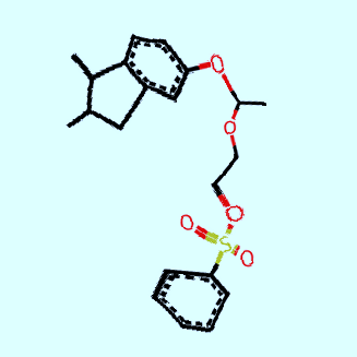 CC(OCCOS(=O)(=O)c1ccccc1)Oc1ccc2c(c1)CC(C)C2C